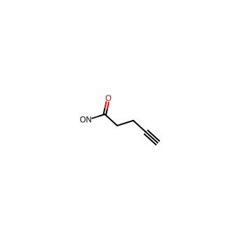 C#CCCC(=O)N=O